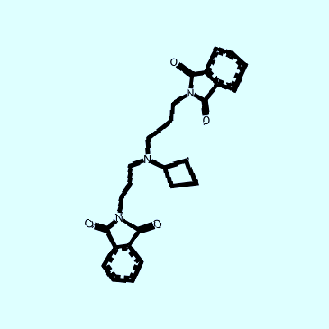 O=C1c2ccccc2C(=O)N1CCCN(CCCN1C(=O)c2ccccc2C1=O)C1CCC1